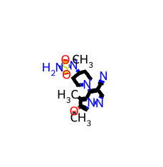 COc1cn2ncc(C#N)c(N3CCC(N(C)S(N)(=O)=O)CC3)c2c1C